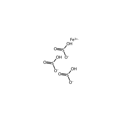 O=S([O-])O.O=S([O-])O.O=S([O-])O.[Fe+3]